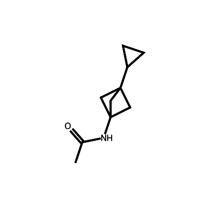 CC(=O)NC12CC(C3CC3)(C1)C2